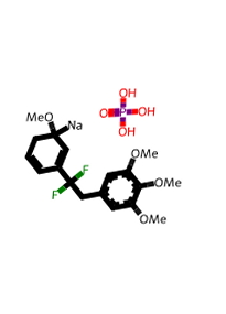 COc1cc(CC(F)(F)C2=C[C]([Na])(OC)CC=C2)cc(OC)c1OC.O=P(O)(O)O